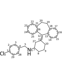 Clc1ccc(CNC2CCCC(=C3c4ccccc4CCc4ccccc43)C2)cc1